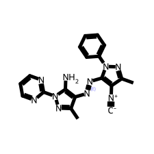 [C-]#[N+]c1c(C)nn(-c2ccccc2)c1/N=N/c1c(C)nn(-c2ncccn2)c1N